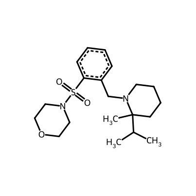 CC(C)C1(C)CCCCN1Cc1ccccc1S(=O)(=O)N1CCOCC1